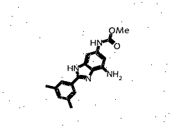 COC(=O)Nc1cc(N)c2nc(-c3cc(C)cc(C)c3)[nH]c2c1